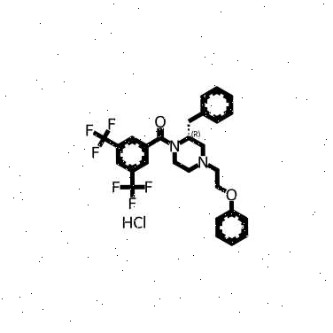 Cl.O=C(c1cc(C(F)(F)F)cc(C(F)(F)F)c1)N1CCN(CCOc2ccccc2)C[C@H]1Cc1ccccc1